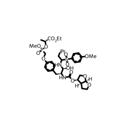 CCOC(=O)[C@H](C)OP(=O)(COc1ccc(C[C@H](NC(=O)O[C@H]2CO[C@H]3OCC[C@H]32)[C@H](O)NC(CC(C)C)S(=O)(=O)c2ccc(OC)cc2)cc1)OC